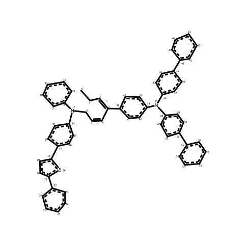 CC/C=C(\C=C/CN(c1ccccc1)c1ccc(-c2ccc(-c3ccccc3)s2)cc1)c1ccc(N(c2ccc(-c3ccccc3)cc2)c2ccc(-c3ccccc3)cc2)cc1